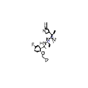 C=C/C(=C(/N=C(\C=C)NC(C)c1cc(F)ccc1OCC1CC1)N(C)C)c1cn[nH]c1